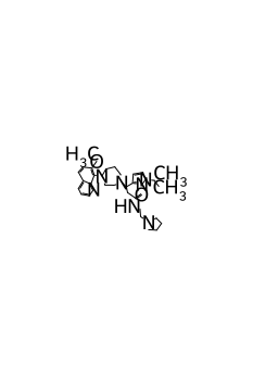 COc1ccc2cccnc2c1N1CCCN(C(CC(=O)NCCN2CCCC2)c2ccn(C(C)C)n2)CC1